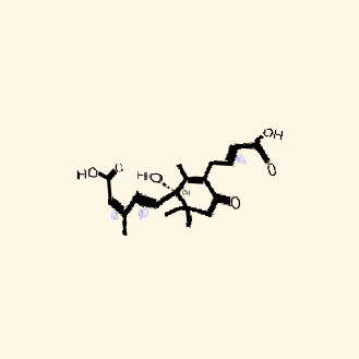 CC1=C(C/C=C/C(=O)O)C(=O)CC(C)(C)[C@@]1(O)/C=C/C(C)=C\C(=O)O